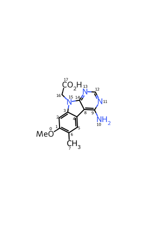 COc1cc2c(cc1C)c1c(N)ncnc1n2CC(=O)O